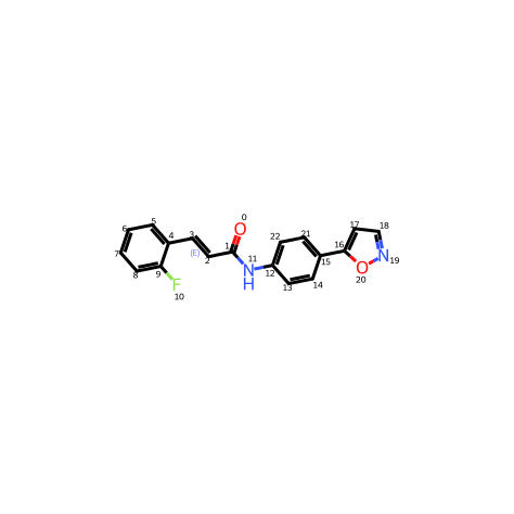 O=C(/C=C/c1ccccc1F)Nc1ccc(-c2ccno2)cc1